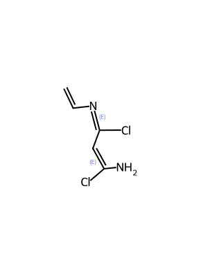 C=C/N=C(Cl)\C=C(/N)Cl